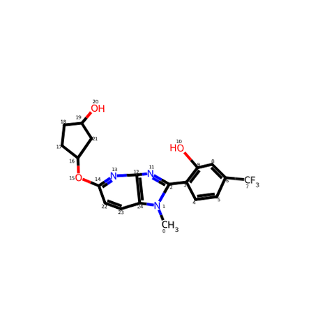 Cn1c(-c2ccc(C(F)(F)F)cc2O)nc2nc(OC3CCC(O)C3)ccc21